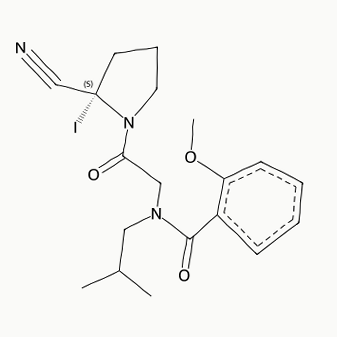 COc1ccccc1C(=O)N(CC(=O)N1CCC[C@]1(I)C#N)CC(C)C